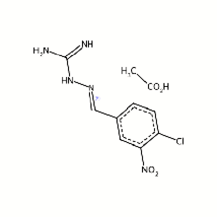 CC(=O)O.N=C(N)N/N=C/c1ccc(Cl)c([N+](=O)[O-])c1